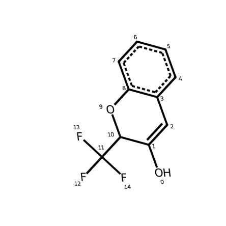 OC1=Cc2ccccc2OC1C(F)(F)F